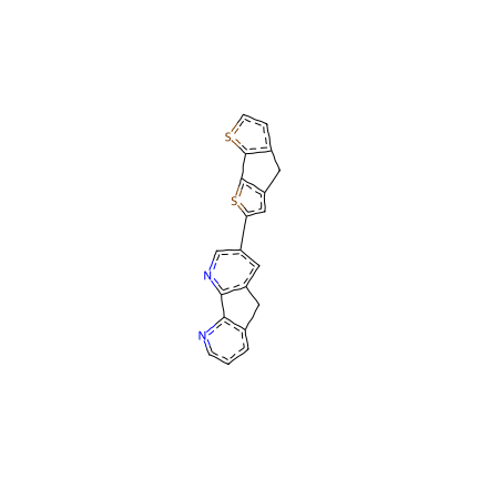 c1cnc2c(c1)Cc1cc(-c3cc4c(s3)-c3sccc3C4)cnc1-2